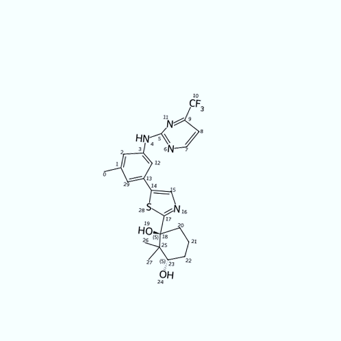 Cc1cc(Nc2nccc(C(F)(F)F)n2)cc(-c2cnc([C@]3(O)CCC[C@H](O)C3(C)C)s2)c1